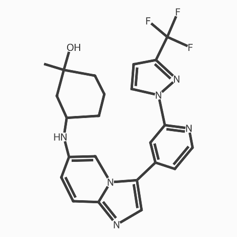 CC1(O)CCCC(Nc2ccc3ncc(-c4ccnc(-n5ccc(C(F)(F)F)n5)c4)n3c2)C1